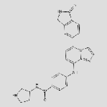 O=C1NCc2cc(-c3ccc(Nc4ccc([S+]([O-])NC5CCNC5)cc4)c4nccn34)ccc21